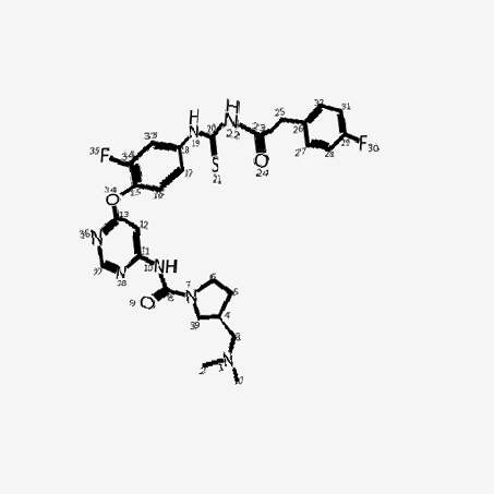 CN(C)C[C@@H]1CCN(C(=O)Nc2cc(Oc3ccc(NC(=S)NC(=O)Cc4ccc(F)cc4)cc3F)ncn2)C1